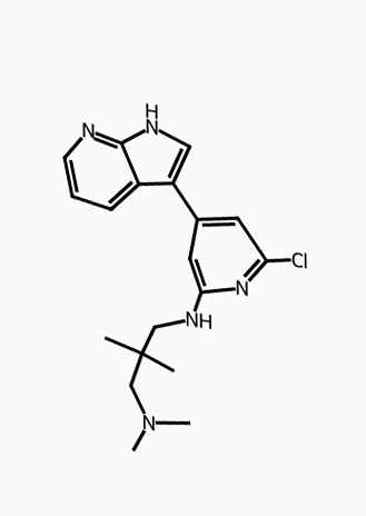 CN(C)CC(C)(C)CNc1cc(-c2c[nH]c3ncccc23)cc(Cl)n1